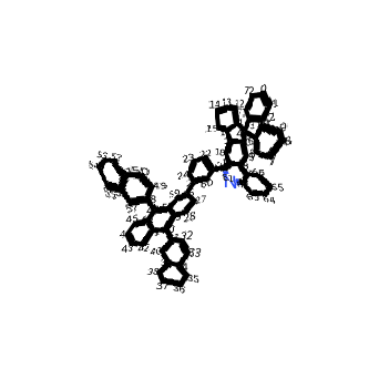 c1ccc(C2(c3ccccc3)c3ccccc3-c3cc4c(-c5cccc(-c6ccc7c(-c8ccc9ccccc9c8)c8ccccc8c(-c8ccc9ccccc9c8)c7c6)c5)nc5ccccc5c4cc32)cc1